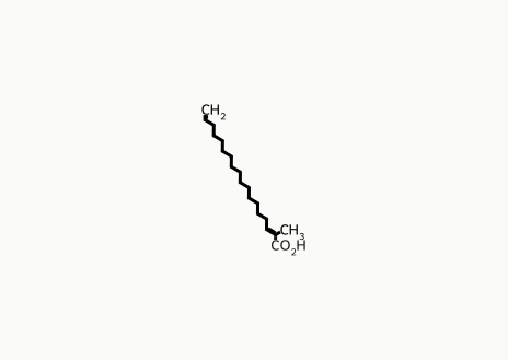 C=CCCCCCCCCCCCCCC=C(C)C(=O)O